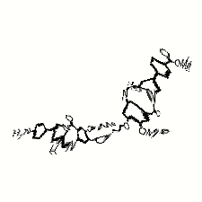 COC(=O)c1ccc(C2=CN3C(=O)c4cc(OC)c(OCCCOc5cc6c(cc5OC)C(=O)N5C=C(c7ccc(N)cc7)C[C@H]5C=N6)cc4N=C[C@@H]3C2)cc1